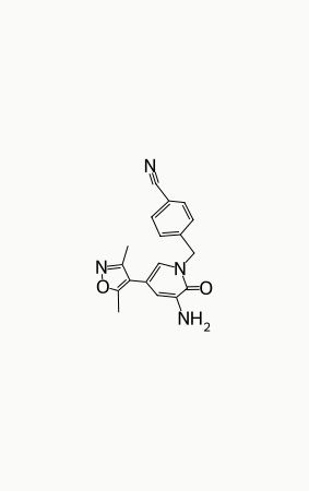 Cc1noc(C)c1-c1cc(N)c(=O)n(Cc2ccc(C#N)cc2)c1